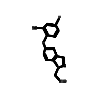 N#Cc1cc(F)ccc1Oc1ccc2c(cnn2CC=O)c1